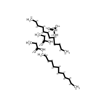 CCC(=O)O.CCC(=O)O.CCCCCCCCCCCC.CCCCCCCCCCCC.O=[SH](=O)O